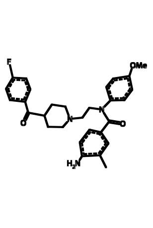 COc1ccc(N(CCN2CCC(C(=O)c3ccc(F)cc3)CC2)C(=O)c2ccc(N)c(C)c2)cc1